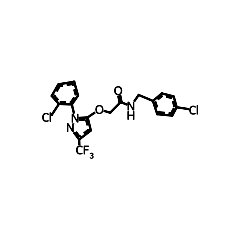 O=C(COc1cc(C(F)(F)F)nn1-c1ccccc1Cl)NCc1ccc(Cl)cc1